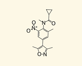 Cc1cc(-c2c(C)noc2C)cc([N+](=O)[O-])c1N(C)C(=O)C1CC1